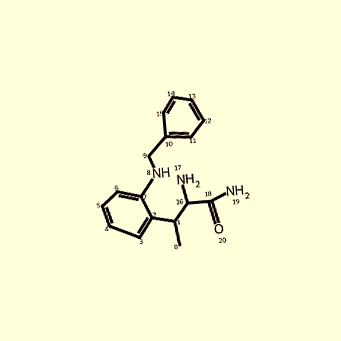 CC(c1ccccc1NCc1ccccc1)C(N)C(N)=O